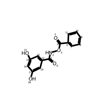 O=C(NOC(=O)c1ccccc1)c1cc(O)cc(O)c1